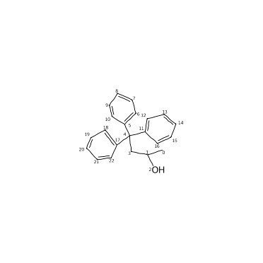 CC(O)CC(c1ccccc1)(c1ccccc1)c1ccccc1